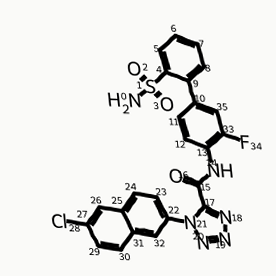 NS(=O)(=O)c1ccccc1-c1ccc(NC(=O)c2nnnn2-c2ccc3cc(Cl)ccc3c2)c(F)c1